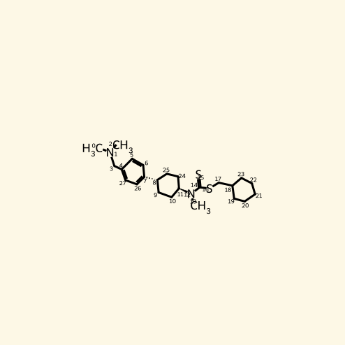 CN(C)Cc1ccc([C@H]2CC[C@H](N(C)C(=S)SCC3CCCCC3)CC2)cc1